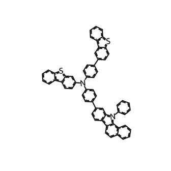 c1ccc(-n2c3cc(-c4ccc(N(c5ccc(-c6ccc7sc8ccccc8c7c6)cc5)c5ccc6c(c5)sc5ccccc56)cc4)ccc3c3ccc4ccccc4c32)cc1